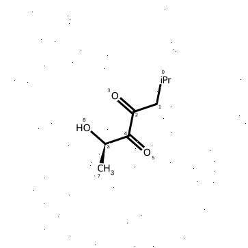 CC(C)CC(=O)C(=O)[C@@H](C)O